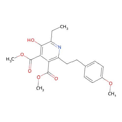 CCc1nc(CCc2ccc(OC)cc2)c(C(=O)OC)c(C(=O)OC)c1O